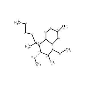 CCCCC(C)N(C1CCC(C)CC1)[C@@H](CC)C(C)CCC